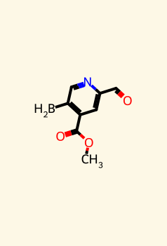 Bc1cnc(C=O)cc1C(=O)OC